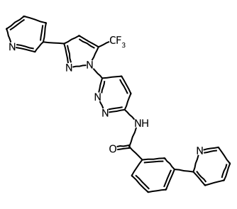 O=C(Nc1ccc(-n2nc(-c3cccnc3)cc2C(F)(F)F)nn1)c1cccc(-c2ccccn2)c1